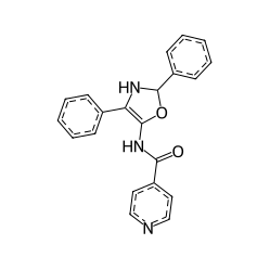 O=C(NC1=C(c2ccccc2)NC(c2ccccc2)O1)c1ccncc1